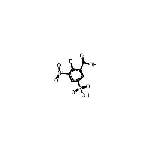 O=C(O)c1cc(S(=O)(=O)O)cc([N+](=O)[O-])c1F